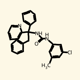 Cc1cc(Cl)cc(NC(=O)NC(Cc2ccccc2)(c2ccccc2)c2ccccn2)c1